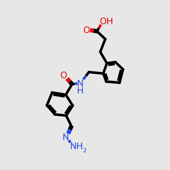 NN=Cc1cccc(C(=O)NCc2ccccc2CCC(=O)O)c1